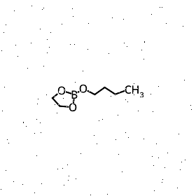 CCCCOB1OCCO1